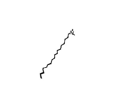 CCCCCC=CCCCCCCCCCCCN(C)C